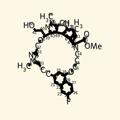 COC(=O)c1c(C)c2c3c(Cl)ccc2n1CCCOc1cc(cc2cc(F)ccc12)CCc1cc(nn1C)COC(CCO)c1nn(C)c(C)c1-3